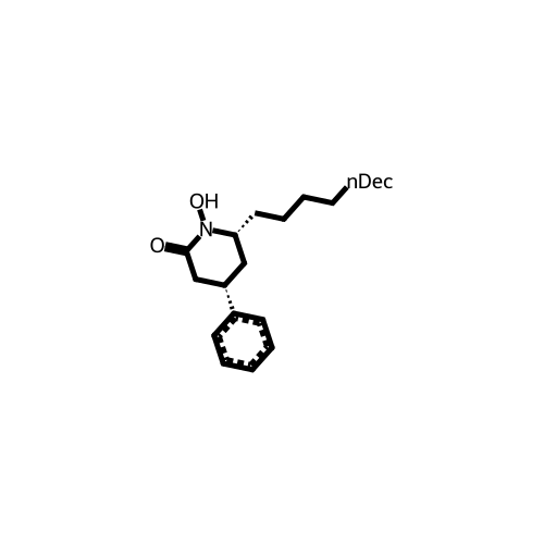 CCCCCCCCCCCCCC[C@@H]1C[C@H](c2ccccc2)CC(=O)N1O